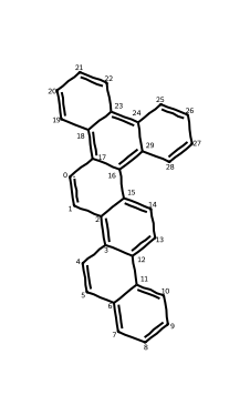 [c]1cc2c3ccc4ccccc4c3ccc2c2c1c1ccccc1c1ccccc12